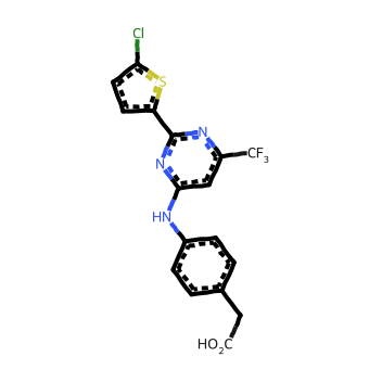 O=C(O)Cc1ccc(Nc2cc(C(F)(F)F)nc(-c3ccc(Cl)s3)n2)cc1